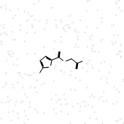 O=C(O)CNC(=O)c1ccc(Br)o1